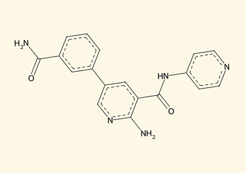 NC(=O)c1cccc(-c2cnc(N)c(C(=O)Nc3ccncc3)c2)c1